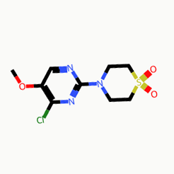 COc1cnc(N2CCS(=O)(=O)CC2)nc1Cl